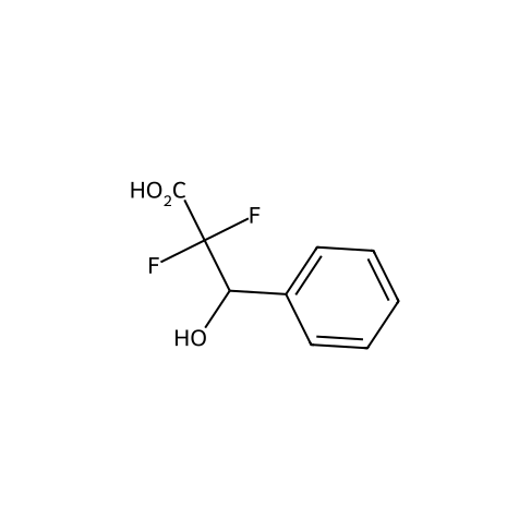 O=C(O)C(F)(F)C(O)c1ccccc1